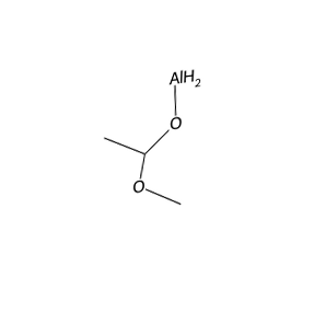 COC(C)[O][AlH2]